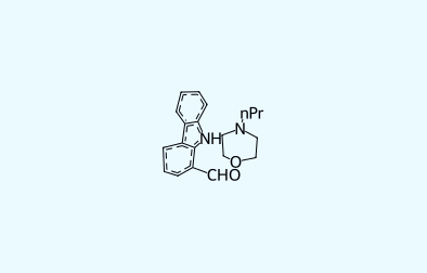 CCCN1CCOCC1.O=Cc1cccc2c1[nH]c1ccccc12